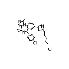 Cc1nnc2n1-c1ccc(-c3cnn(CCCCCCCl)c3)cc1C(c1ccc(Cl)cc1)=NC21CC1